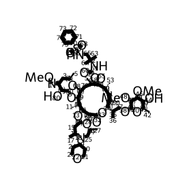 CON=C1C[C@@H](C)O[C@@H](O[C@@H]2[C@@H](C)[C@H](O[C@H]3CC(C)N(C4CCOCC4)C[C@H](C)O3)[C@@H](C)C(=O)O[C@@H](C(C)CO[C@@H]3O[C@H](C)[C@@H](O)[C@@H](OC)[C@H]3OC)[C@@H](C)[CH][C@@H](C)C(=O)[C@@](C)(OC(=O)NC(C)(C)CNS(=O)(=O)c3ccccc3)C[C@@H]2C)[C@@H]1O